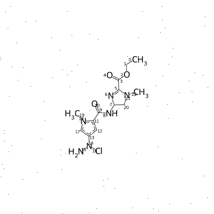 CCOC(=O)C1=NC(NC(=O)c2cc(N(N)Cl)cn2C)CN1C